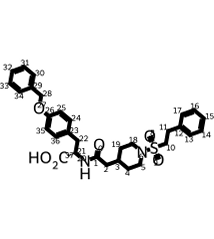 O=C(CC1CCN(S(=O)(=O)CCc2ccccc2)CC1)N[C@@H](Cc1ccc(OCc2ccccc2)cc1)C(=O)O